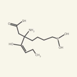 CC/C=C(/O)C(N)(CCCCB(O)O)CC(=O)S